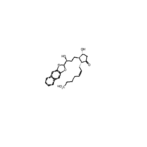 O=C(O)CCC/C=C\C[C@H]1C(=O)C[C@@H](O)[C@@H]1CC[C@H](O)C1Oc2cc3ccccc3cc2O1